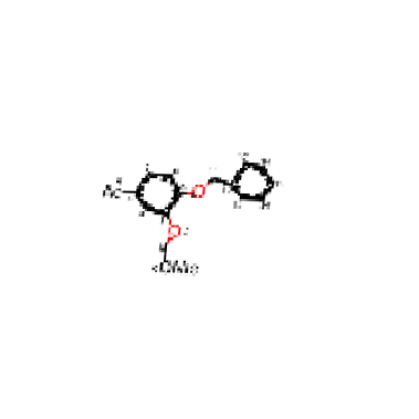 COCOc1cc(C(C)=O)ccc1OCc1ccccc1